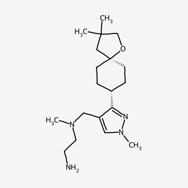 CN(CCN)Cc1cn(C)nc1[C@H]1CC[C@]2(CC1)CC(C)(C)CO2